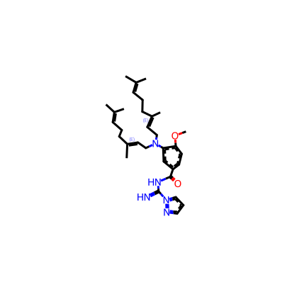 COc1ccc(C(=O)NC(=N)n2cccn2)cc1N(C/C=C(\C)CCC=C(C)C)C/C=C(\C)CCC=C(C)C